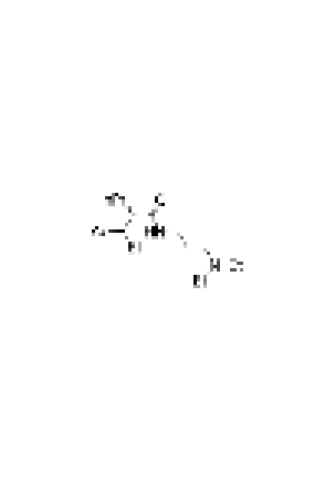 CCC[C@@H](C(=O)NCCCN(CC)CC)[C@H](CC)C(C)=O